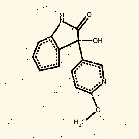 COc1ccc(C2(O)C(=O)Nc3ccccc32)cn1